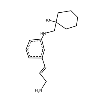 NC/C=C/c1cccc(NCC2(O)CCCCC2)c1